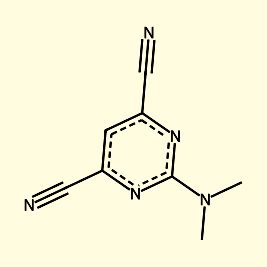 CN(C)c1nc(C#N)cc(C#N)n1